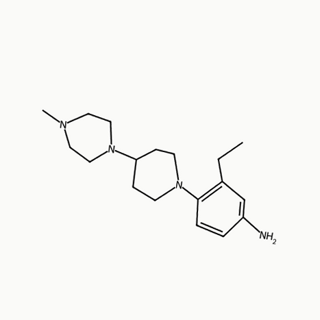 CCc1cc(N)ccc1N1CCC(N2CCN(C)CC2)CC1